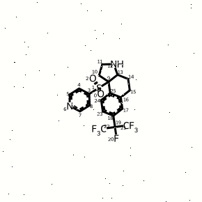 O=S(=O)(c1ccncc1)C12CCNC1CCc1cc(C(F)(C(F)(F)F)C(F)(F)F)ccc12